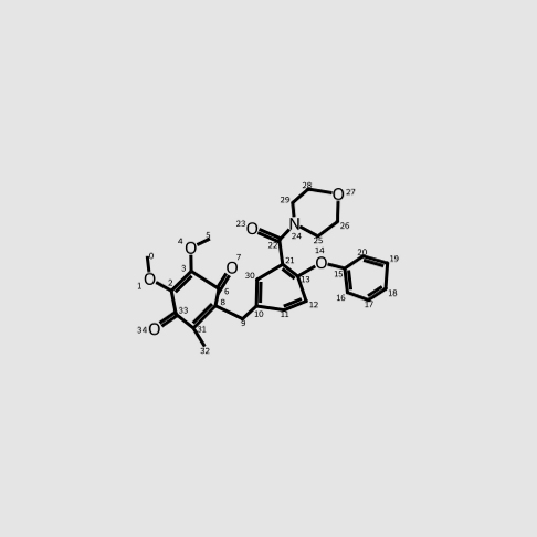 COC1=C(OC)C(=O)C(Cc2ccc(Oc3ccccc3)c(C(=O)N3CCOCC3)c2)=C(C)C1=O